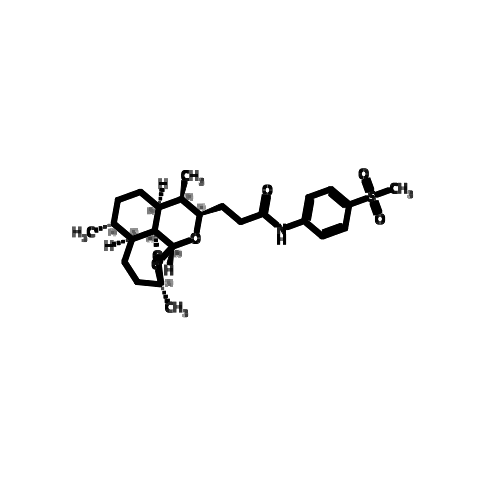 C[C@H]1[C@@H](CCC(=O)Nc2ccc(S(C)(=O)=O)cc2)O[C@@H]2O[C@]3(C)CC[C@H]4[C@H](C)CC[C@@H]1[C@@]24OO3